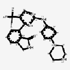 O=C1NCc2cccc(-c3nc(Nc4ccc(N5CCNCC5)cc4)ncc3C(F)(F)F)c21